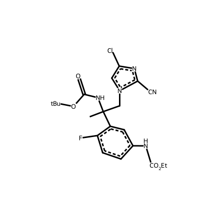 CCOC(=O)Nc1ccc(F)c(C(C)(Cn2cc(Cl)nc2C#N)NC(=O)OC(C)(C)C)c1